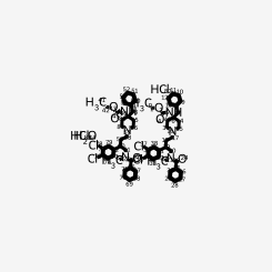 CCOC(=O)NC1(Cc2ccccc2)CCN(CCC(CN(C)C(=O)c2ccccc2)c2ccc(Cl)c(Cl)c2)CC1.CCOC(=O)NC1(Cc2ccccc2)CCN(CCC(CN(C)C(=O)c2ccccc2)c2ccc(Cl)c(Cl)c2)CC1.Cl.Cl.O